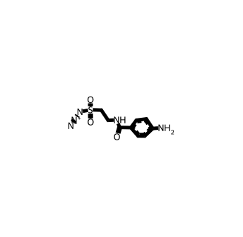 [N-]=[N+]=NS(=O)(=O)CCNC(=O)c1ccc(N)cc1